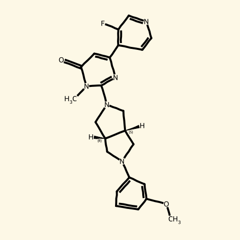 COc1cccc(N2C[C@@H]3CN(c4nc(-c5ccncc5F)cc(=O)n4C)C[C@@H]3C2)c1